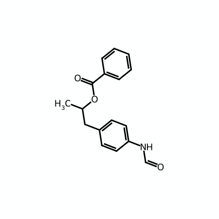 CC(Cc1ccc(NC=O)cc1)OC(=O)c1ccccc1